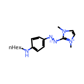 CCCCCCNc1ccc(/N=N/c2n(C)cc[n+]2C)cc1